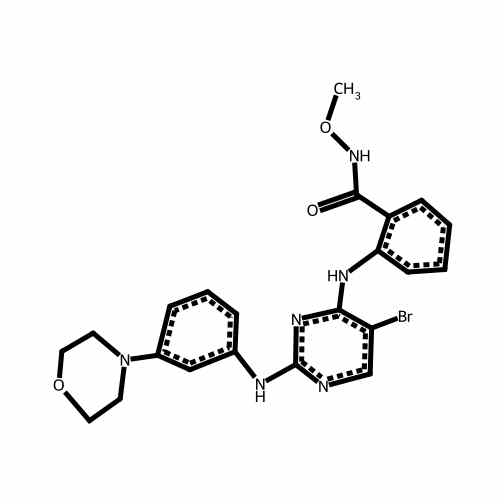 CONC(=O)c1ccccc1Nc1nc(Nc2cccc(N3CCOCC3)c2)ncc1Br